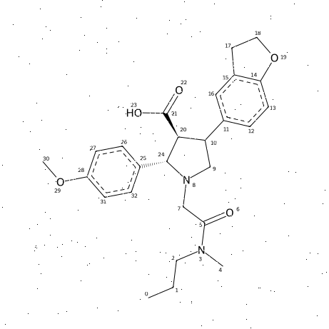 CCCN(C)C(=O)CN1CC(c2ccc3c(c2)CCO3)[C@H](C(=O)O)[C@H]1c1ccc(OC)cc1